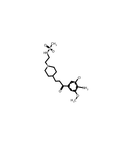 COc1cc(C(=O)CCC2CCN(CCNS(C)(=O)=O)CC2)cc(Cl)c1N